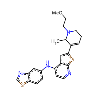 COCCN1CCC=C(c2cc3c(Nc4ccc5scnc5c4)ccnc3s2)C1C